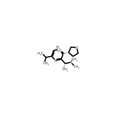 C=C(/C(=N\C(=C/C)C(C)C)[C@@H](C)N(C)C)[C@H]1CCOC1